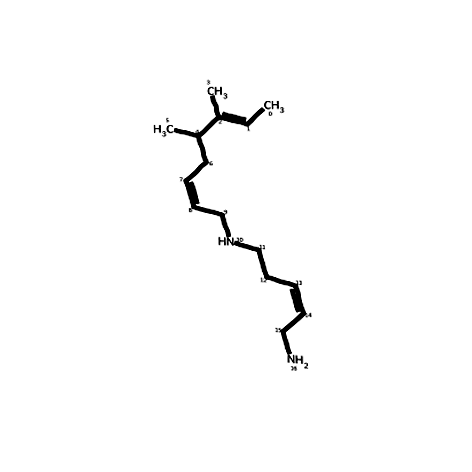 C/C=C(\C)C(C)C/C=C\CNCC/C=C\CN